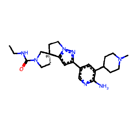 CCNC(=O)N1CC[C@@]2(CCn3nc(-c4cnc(N)c(C5CCN(C)CC5)c4)cc32)C1